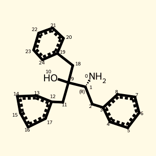 N[C@H](Cc1ccccc1)C(O)(Cc1ccccc1)Cc1ccccc1